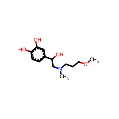 COCCCN(C)CC(O)c1ccc(O)c(O)c1